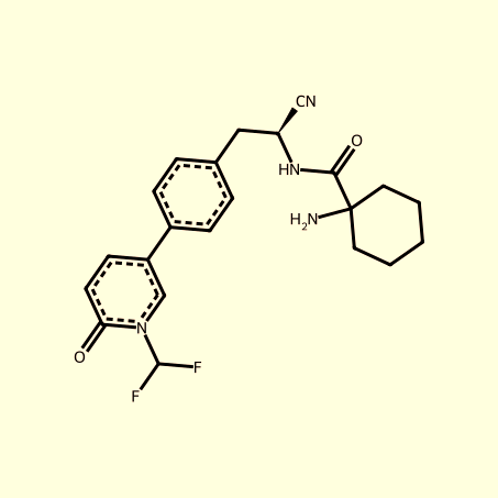 N#C[C@H](Cc1ccc(-c2ccc(=O)n(C(F)F)c2)cc1)NC(=O)C1(N)CCCCC1